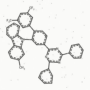 Cc1ccc2c3ccccc3n(-c3cc(-c4nc(-c5ccccc5)nc(-c5ccccc5)n4)ccc3-c3cc(C(F)(F)F)cc(C(F)(F)F)c3)c2c1